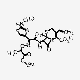 C=CC1=C(C(=O)O)N2C(=O)C(NC(=O)C(=NOC(C)C(=O)OC(C)(C)C)c3csc(NC=O)n3)[C@@H]2SC1